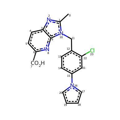 Cc1nc2ccc(C(=O)O)nc2n1Cc1ccc(-n2cccc2)cc1Cl